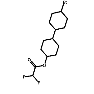 CCC1CCC(C2CCC(OC(=O)C(F)F)CC2)CC1